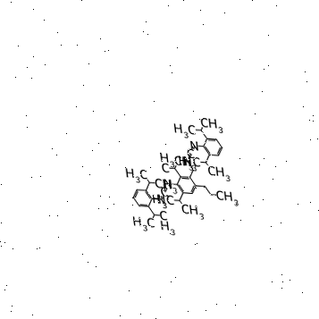 CCCc1cc(C(C)C)c(N=C=Nc2c(C(C)C)cccc2C(C)C)c(C(C)C)c1CN=C=Nc1c(C(C)C)cccc1C(C)C